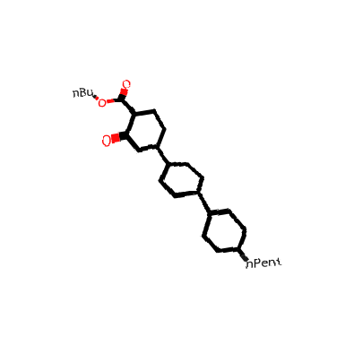 CCCCCC1CCC(C2CCC(C3CCC(C(=O)OCCCC)C(=O)C3)CC2)CC1